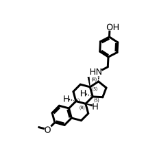 COc1ccc2c(c1)CC[C@@H]1[C@@H]2CC[C@]2(C)[C@H](NCc3ccc(O)cc3)CC[C@@H]12